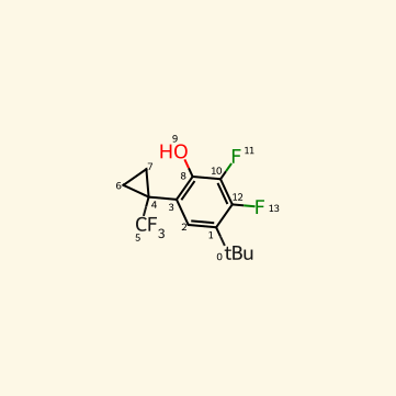 CC(C)(C)c1cc(C2(C(F)(F)F)CC2)c(O)c(F)c1F